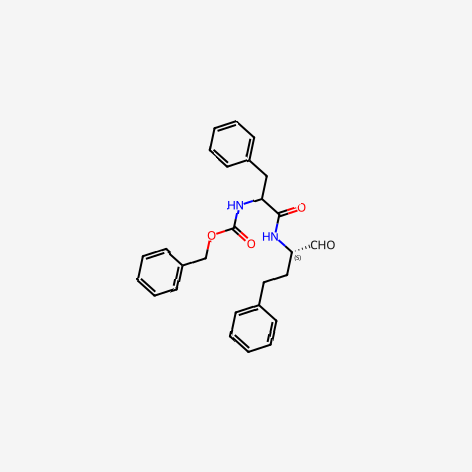 O=C[C@H](CCc1ccccc1)NC(=O)C(Cc1ccccc1)NC(=O)OCc1ccccc1